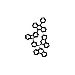 c1ccc(-c2c3ccccc3c(-c3ccc4c(c3)c3ccccc3n4-c3cccc(N(c4cc5ccccc5c5ccccc45)c4cc5ccccc5c5ccccc45)c3)c3ccccc23)cc1